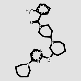 Cc1ccccc1C(=O)N1CCC(N2CCCCC(Nc3nccc(N4CCCCCC4)n3)C2)CC1